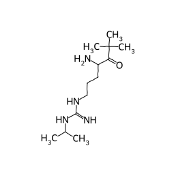 CC(C)NC(=N)NCCCC(N)C(=O)C(C)(C)C